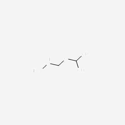 CPCOC(C)O